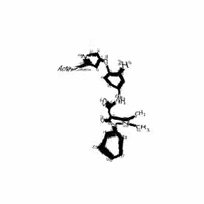 [2H]c1cc(NC(=O)c2c(C)n(C)n(-c3ccccc3)c2=O)ccc1Oc1ccnc(NC(C)=O)c1